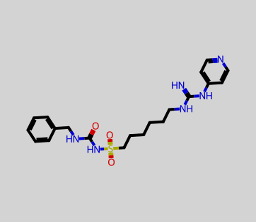 N=C(NCCCCCCS(=O)(=O)NC(=O)NCc1ccccc1)Nc1ccncc1